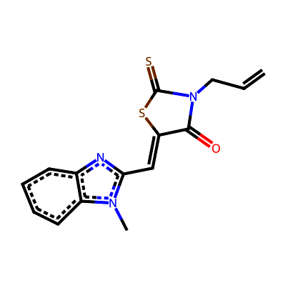 C=CCN1C(=O)/C(=C/c2nc3ccccc3n2C)SC1=S